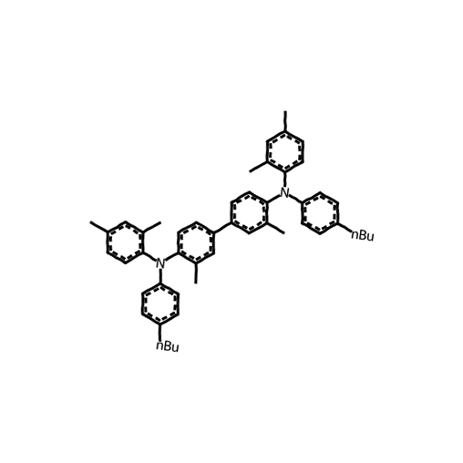 CCCCc1ccc(N(c2ccc(C)cc2C)c2ccc(-c3ccc(N(c4ccc(CCCC)cc4)c4ccc(C)cc4C)c(C)c3)cc2C)cc1